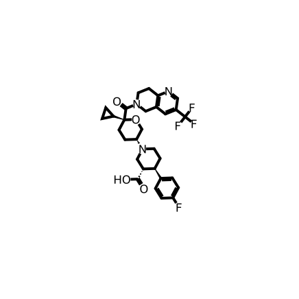 O=C(O)[C@@H]1CN([C@@H]2CC[C@@](C(=O)N3CCc4ncc(C(F)(F)F)cc4C3)(C3CC3)OC2)CC[C@H]1c1ccc(F)cc1